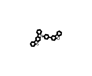 c1ccc2c(c1)oc1ccc(-c3ccc(-n4c5ccccc5c5cc6c(cc54)sc4ccccc46)cc3)cc12